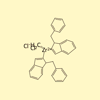 [CH2]=[Zr+2]([C]1=Cc2ccccc2C1Cc1ccccc1)[C]1=Cc2ccccc2C1Cc1ccccc1.[Cl-].[Cl-]